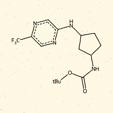 CC(C)(C)OC(=O)NC1CCC(Nc2cnc(C(F)(F)F)cn2)C1